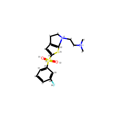 CN(C)CCN1CCc2cc(S(=O)(=O)c3cccc(F)c3)sc21